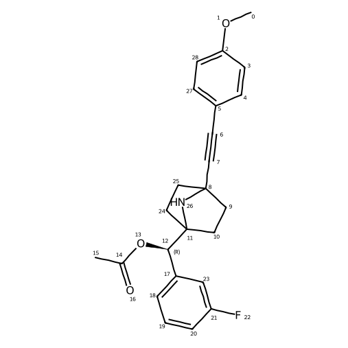 COc1ccc(C#CC23CCC([C@H](OC(C)=O)c4cccc(F)c4)(CC2)N3)cc1